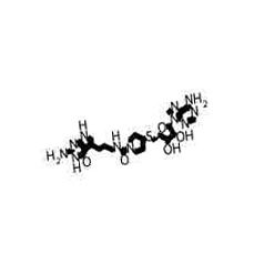 Nc1nc2[nH]cc(CCCNC(=O)N3CCC(SC[C@H]4O[C@@H](n5cnc6c(N)ncnc65)C(O)C4O)CC3)c2c(=O)[nH]1